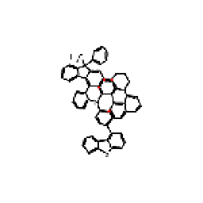 CC1(c2ccccc2)c2ccccc2-c2c(-c3ccccc3N(c3ccc(-c4cccc5sc6ccccc6c45)cc3)c3ccccc3-c3cccc4cccc(C5CCCCC5)c34)cccc21